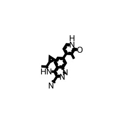 Cc1c(-c2ccc3c(NC(C)C4CC4)c(C#N)nnc3c2)cc[nH]c1=O